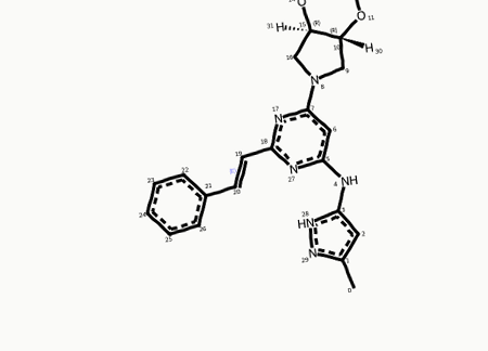 Cc1cc(Nc2cc(N3C[C@H]4OCCO[C@@H]4C3)nc(/C=C/c3ccccc3)n2)[nH]n1